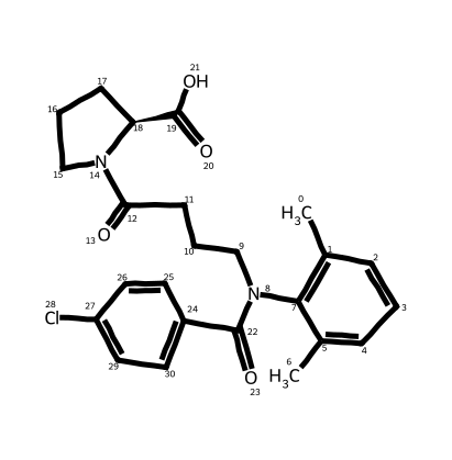 Cc1cccc(C)c1N(CCCC(=O)N1CCC[C@H]1C(=O)O)C(=O)c1ccc(Cl)cc1